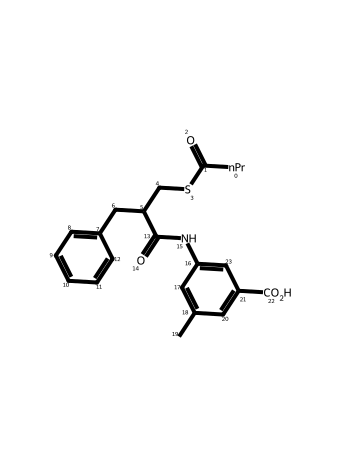 CCCC(=O)SCC(Cc1ccccc1)C(=O)Nc1cc(C)cc(C(=O)O)c1